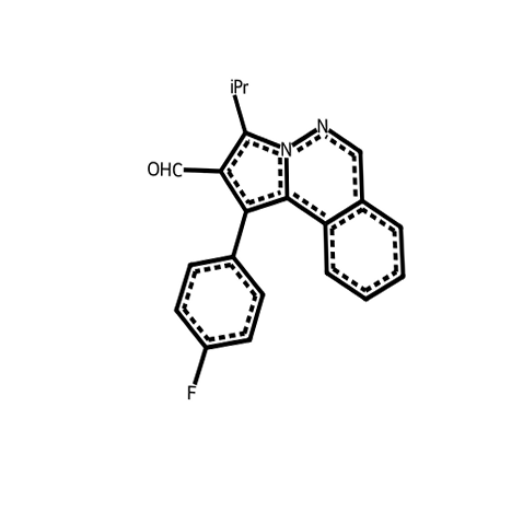 CC(C)c1c(C=O)c(-c2ccc(F)cc2)c2c3ccccc3cnn12